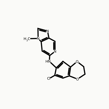 Cn1cnc2cnc(Nc3cc4c(cc3Cl)OCCO4)cc21